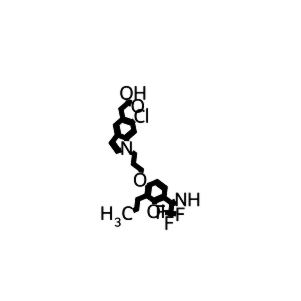 CCCc1c(OCCCn2ccc3cc(CC(=O)O)c(Cl)cc32)ccc(C(=N)C(F)(F)F)c1O